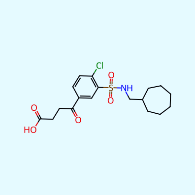 O=C(O)CCC(=O)c1ccc(Cl)c(S(=O)(=O)NCC2CCCCCC2)c1